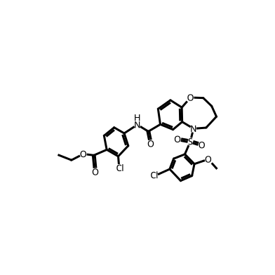 CCOC(=O)c1ccc(NC(=O)c2ccc3c(c2)N(S(=O)(=O)c2cc(Cl)ccc2OC)CCCCO3)cc1Cl